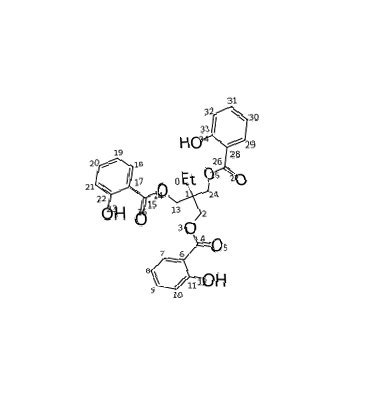 CCC(COC(=O)c1ccccc1O)(COC(=O)c1ccccc1O)COC(=O)c1ccccc1O